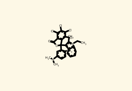 CCn1c(C)c(C2(c3cc(N(C)C)ccc3C)OC(=O)c3c(Cl)c(Cl)c(Cl)c(Cl)c32)c2ccccc21